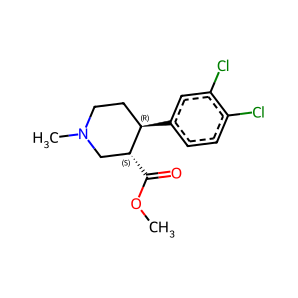 COC(=O)[C@@H]1CN(C)CC[C@H]1c1ccc(Cl)c(Cl)c1